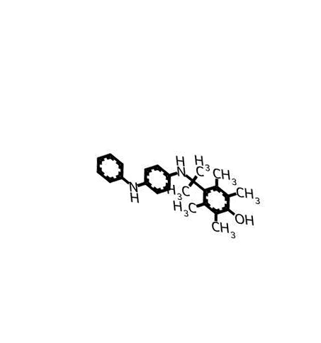 Cc1c(C)c(C(C)(C)Nc2ccc(Nc3ccccc3)cc2)c(C)c(C)c1O